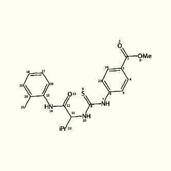 COC(=O)c1ccc(NC(=S)NC(C(=O)Nc2ccccc2C)C(C)C)cc1